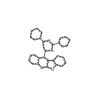 c1ccc(-c2cc(-c3c4ccccc4nc4oc5ccccc5c34)nc(-c3ccccc3)n2)cc1